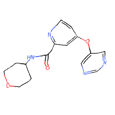 O=C(NC1CCOCC1)c1cc(Oc2cncnc2)ccn1